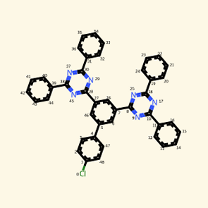 Clc1ccc(-c2cc(-c3nc(-c4ccccc4)nc(-c4ccccc4)n3)cc(-c3nc(-c4ccccc4)nc(-c4ccccc4)n3)c2)cc1